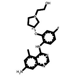 Cc1cc(N)cc2ncnc(Nc3ccc(F)cc3O[C@@H]3CCN(CCO)C3)c12